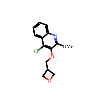 COc1nc2cc[c]cc2c(Cl)c1OCC1COC1